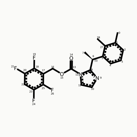 Cc1cccc([C@H](C)c2nccn2C(=O)OCc2c(F)c(F)cc(F)c2F)c1C